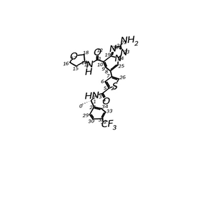 C[C@H](NC(=O)c1cc(-c2cc(C(=O)N[C@H]3CCOC3)c3nc(N)nn3c2)cs1)c1ccc(C(F)(F)F)cc1